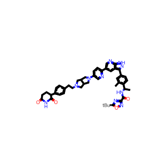 Cc1cc(-c2n[nH]c3ncc(-c4ccc(N5CC6CN(CCc7ccc(C8CCC(=O)NC8=O)cc7)CC6C5)cn4)cc23)ccc1C(C)NC(=O)c1noc(C(C)(C)C)n1